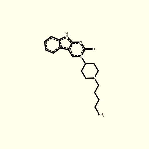 NCCCCN1CCC(n2cc3c(nc2=O)[nH]c2ccccc23)CC1